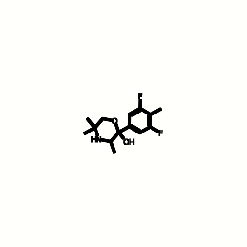 Cc1c(F)cc(C2(O)OCC(C)(C)NC2C)cc1F